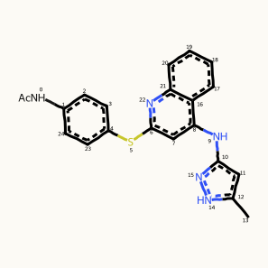 CC(=O)Nc1ccc(Sc2cc(Nc3cc(C)[nH]n3)c3ccccc3n2)cc1